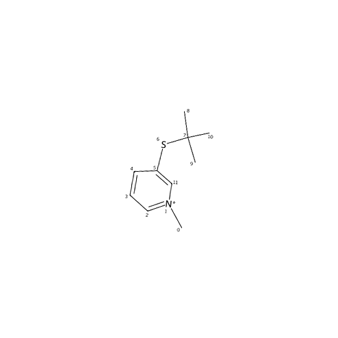 C[n+]1cccc(SC(C)(C)C)c1